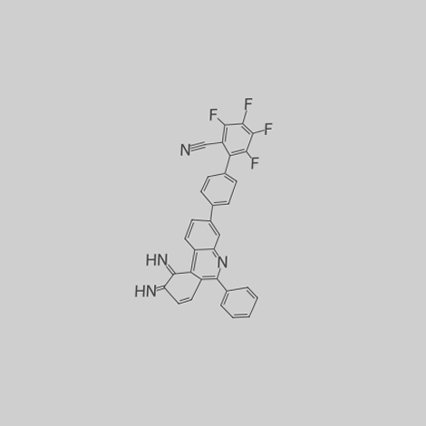 N#Cc1c(F)c(F)c(F)c(F)c1-c1ccc(-c2ccc3c4c(c(-c5ccccc5)nc3c2)C=CC(=N)C4=N)cc1